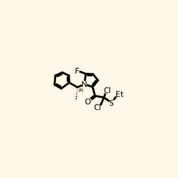 CCSC(Cl)(Cl)C(=O)c1ccc(F)n1[C@H](C)c1ccccc1